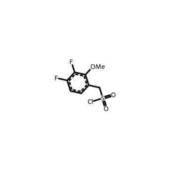 COc1c(CS(=O)(=O)Cl)ccc(F)c1F